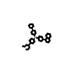 C=C/C=C(\C=C/C)c1ccc(N(c2ccc(-c3ccccc3)cc2)c2ccc(-c3cccc4ccccc34)cc2)cc1